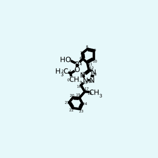 CC(C)OB(O)c1ccccc1-c1nnn(CC(C)c2ccccc2)n1